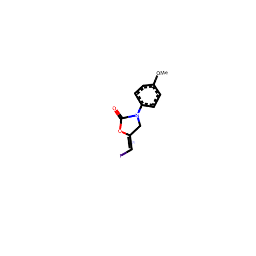 COc1ccc(N2C/C(=C/I)OC2=O)cc1